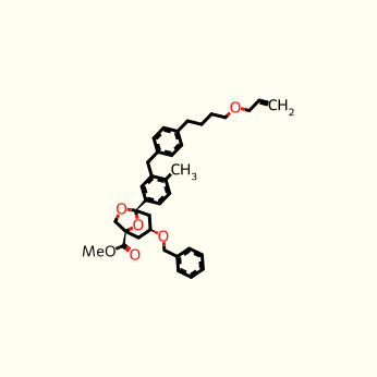 C=CCOCCCCc1ccc(Cc2cc([C@]34C[C@@H](OCc5ccccc5)C[C@](C(=O)OC)(CO3)O4)ccc2C)cc1